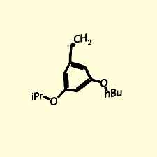 C=[C]c1cc(OCCCC)cc(OC(C)C)c1